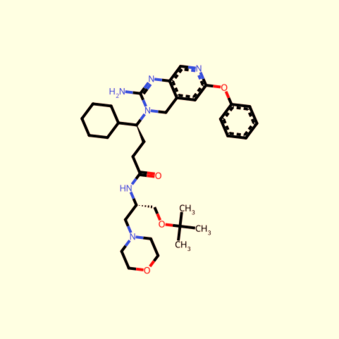 CC(C)(C)OC[C@H](CN1CCOCC1)NC(=O)CC[C@@H](C1CCCCC1)N1Cc2cc(Oc3ccccc3)ncc2N=C1N